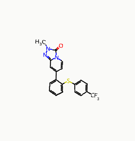 Cn1nc2cc(-c3ccccc3Sc3ccc(C(F)(F)F)cc3)ccn2c1=O